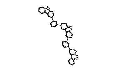 c1cc(-c2ccc3sc4ccccc4c3c2)cc(-c2ccc3sc4ccc(-c5cccc(-c6ccc7sc8ccccc8c7c6)c5)cc4c3c2)c1